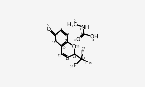 CNC(=O)O.O=C1C=CC2=C(C=CC(C(F)(F)F)O2)C1